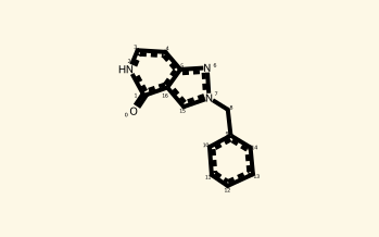 O=c1[nH]ccc2nn(Cc3ccccc3)cc12